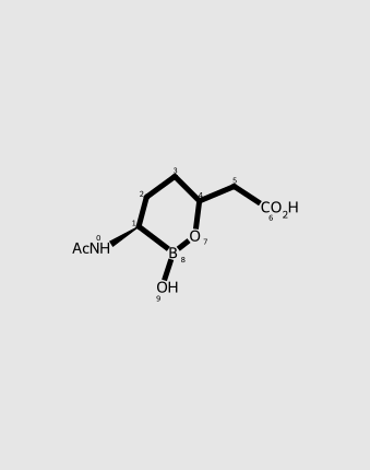 CC(=O)N[C@H]1CCC(CC(=O)O)OB1O